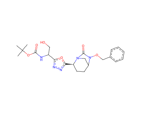 CC(C)(C)OC(=O)NC(CO)c1nnc([C@@H]2CCC3CN2C(=O)N3OCc2ccccc2)o1